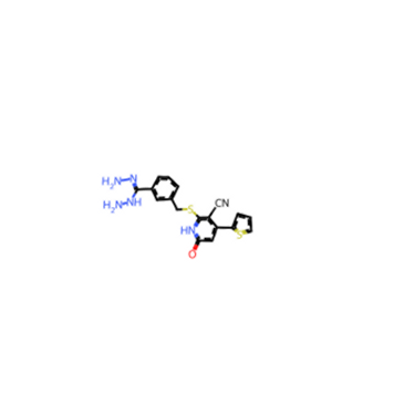 N#Cc1c(-c2cccs2)cc(=O)[nH]c1SCc1cccc(/C(=N/N)NN)c1